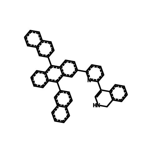 C1=C(c2cccc(-c3ccc4c(-c5ccc6ccccc6c5)c5ccccc5c(-c5ccc6ccccc6c5)c4c3)n2)c2ccccc2CN1